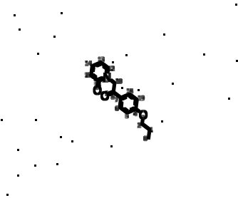 CCCOc1ccc(C(=O)Cn2ccccc2=O)cc1